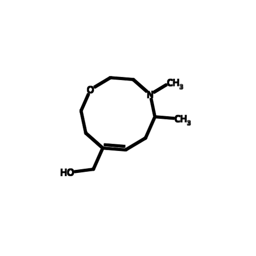 CC1C/C=C(/CO)CCOCCN1C